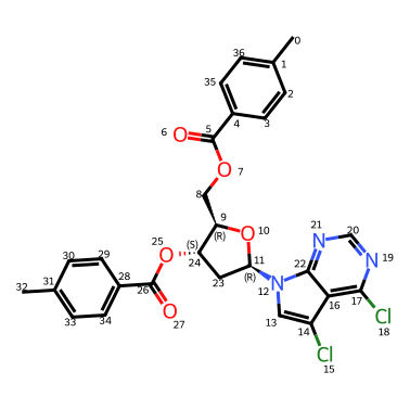 Cc1ccc(C(=O)OC[C@H]2O[C@@H](n3cc(Cl)c4c(Cl)ncnc43)C[C@@H]2OC(=O)c2ccc(C)cc2)cc1